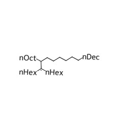 CCCCCCCCCCCCCCCCC(CCCCCCCC)[C](CCCCCC)CCCCCC